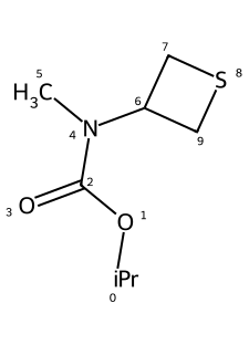 CC(C)OC(=O)N(C)C1CSC1